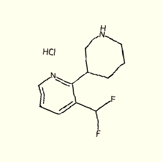 Cl.FC(F)c1cccnc1C1CCCNC1